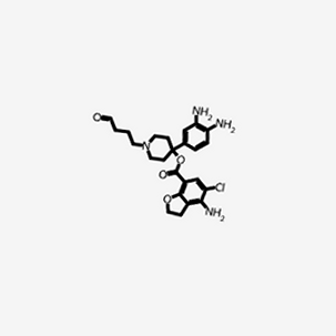 Nc1ccc(C2(OC(=O)c3cc(Cl)c(N)c4c3OCC4)CCN(CCCC=O)CC2)cc1N